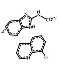 O=C([O-])Nc1nc2ccccc2[nH]1.[Cu+2].[O-]c1cccc2cccnc12